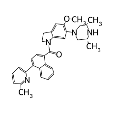 COc1cc2c(cc1N1C[C@@H](C)N[C@@H](C)C1)N(C(=O)c1ccc(-c3cccc(C)n3)c3ccccc13)CC2